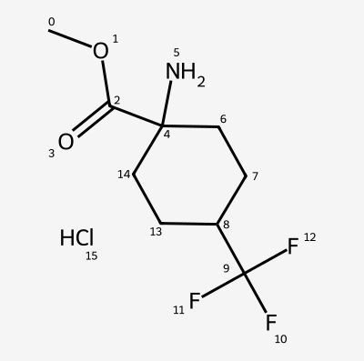 COC(=O)C1(N)CCC(C(F)(F)F)CC1.Cl